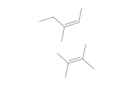 CC(C)=C(C)C.CC=C(C)CC